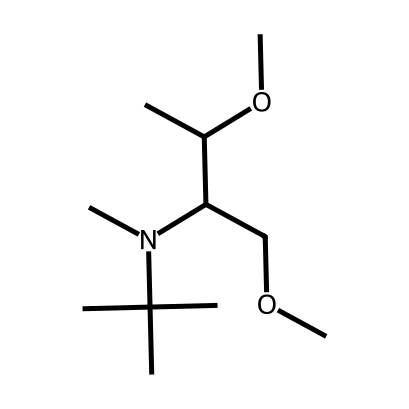 COCC(C(C)OC)N(C)C(C)(C)C